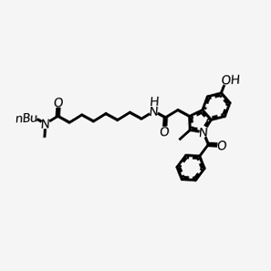 CCCCN(C)C(=O)CCCCCCCNC(=O)Cc1c(C)n(C(=O)c2ccccc2)c2ccc(O)cc12